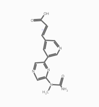 CN(C(N)=O)c1cncc(-c2cncc(/C=C/C(=O)O)c2)n1